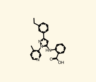 CCc1cccc(-c2cc(Nc3ccccc3C(=O)O)n(-c3cnccc3C)n2)c1